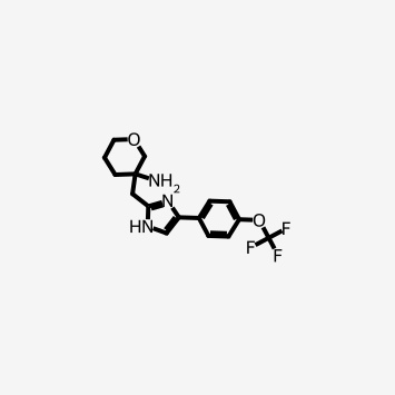 NC1(Cc2nc(-c3ccc(OC(F)(F)F)cc3)c[nH]2)CCCOC1